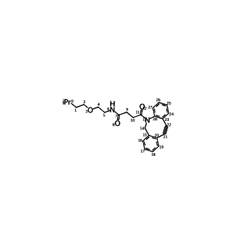 CC(C)CCOCCNC(=O)CCC(=O)N1Cc2ccccc2C#Cc2ccccc21